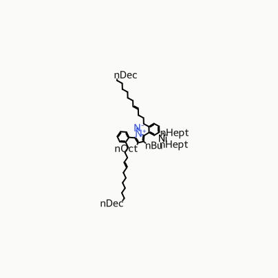 CCCCCCCCCCCCCCCCC=CCCCc1ccccc1C1=C(CCCC)C(CCCCCCCC)=C(c2ccccc2CCCC=CCCCCCCCCCCCCCCCC)[N+]1=[N-].CCCCCC[CH2][Ni][CH2]CCCCCC